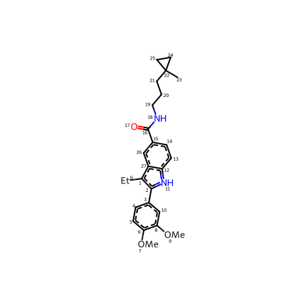 CCc1c(-c2ccc(OC)c(OC)c2)[nH]c2ccc(C(=O)NCCCC3(C)CC3)cc12